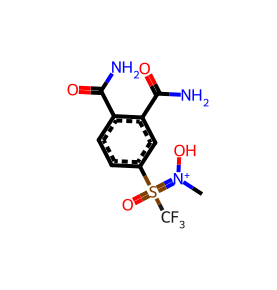 C[N+](O)=S(=O)(c1ccc(C(N)=O)c(C(N)=O)c1)C(F)(F)F